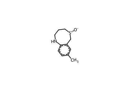 Cc1ccc2c(c1)C[S+]([O-])CCCN2